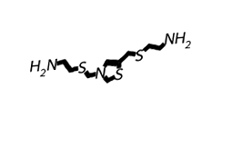 NCCSCC1=CN(CSCCN)CS1